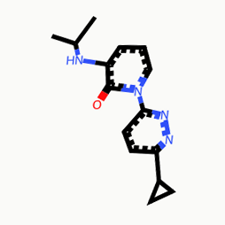 CC(C)Nc1cccn(-c2ccc(C3CC3)nn2)c1=O